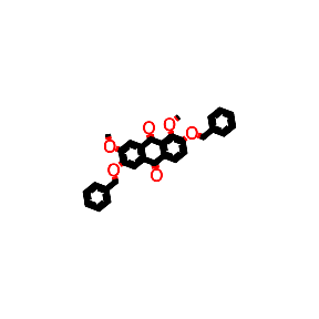 COc1cc2c(cc1OCc1ccccc1)C(=O)c1ccc(OCc3ccccc3)c(OC)c1C2=O